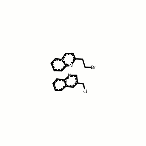 BrCCc1ccc2ccccc2n1.ClCc1cnc2ccccc2c1